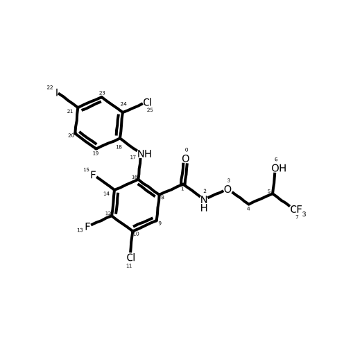 O=C(NOCC(O)C(F)(F)F)c1cc(Cl)c(F)c(F)c1Nc1ccc(I)cc1Cl